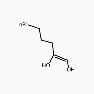 CCCCCCC(O)=CO